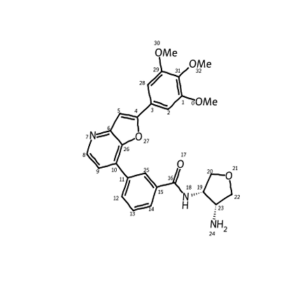 COc1cc(-c2cc3nccc(-c4cccc(C(=O)N[C@@H]5COC[C@@H]5N)c4)c3o2)cc(OC)c1OC